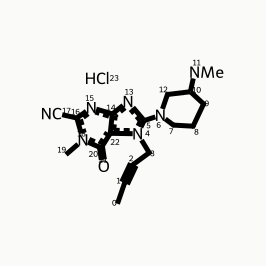 CC#CCn1c(N2CCCC(NC)C2)nc2nc(C#N)n(C)c(=O)c21.Cl